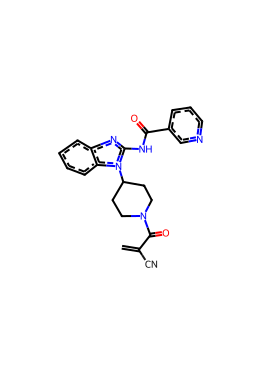 C=C(C#N)C(=O)N1CCC(n2c(NC(=O)c3cccnc3)nc3ccccc32)CC1